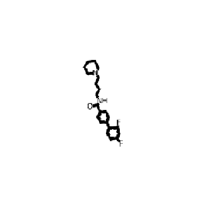 O=C(NCCCCN1CCCCC1)c1ccc(-c2ccc(F)cc2F)cc1